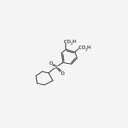 O=C(O)c1ccc(S(=O)(=O)C2CCCCC2)cc1C(=O)O